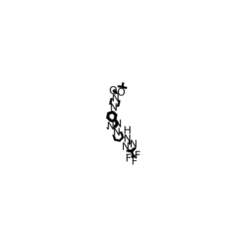 Cn1c(N2CCC[C@@H](Nc3ncc(C(F)(F)F)cn3)C2)nc2cc(N3CCN(C(=O)OC(C)(C)C)CC3)ccc21